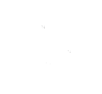 [Ca].c1cnc2c(c1)ccc1ncccc12